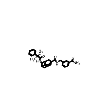 CC(C)(C(=O)NC1C2CC3CC1CC(C(=O)NCc1cccc(C(N)=O)c1)(C3)C2)c1ccccc1